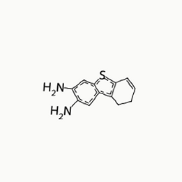 Nc1cc2sc3c(c2cc1N)CCC=C3